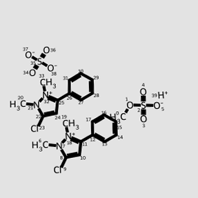 COS(=O)(=O)[O-].Cn1c(Cl)cc(-c2ccccc2)[n+]1C.Cn1c(Cl)cc(-c2ccccc2)[n+]1C.O=S(=O)([O-])[O-].[H+]